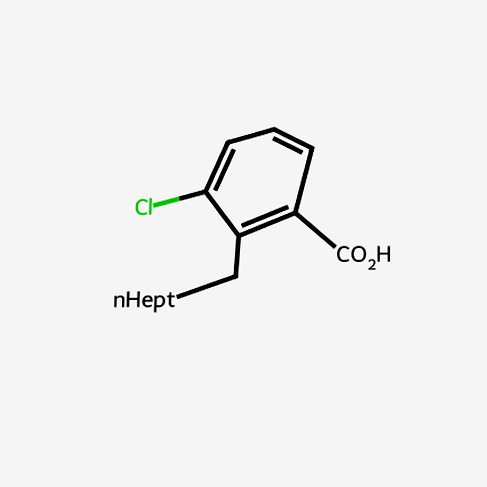 CCCCCCCCc1c(Cl)cccc1C(=O)O